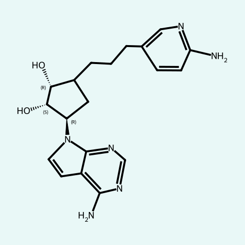 Nc1ccc(CCCC2C[C@@H](n3ccc4c(N)ncnc43)[C@H](O)[C@@H]2O)cn1